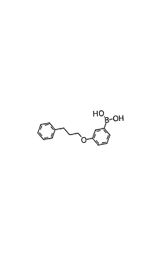 OB(O)c1cccc(OCCCc2ccccc2)c1